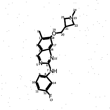 Cc1cc2cnc(Nc3cccc(F)c3)nc2cc1OCC1CN(C)C1